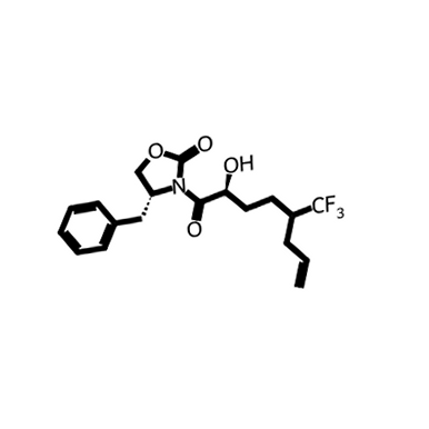 C=CCC(CC[C@H](O)C(=O)N1C(=O)OC[C@H]1Cc1ccccc1)C(F)(F)F